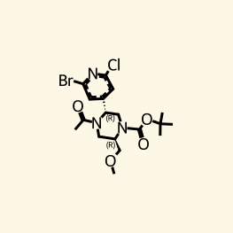 COC[C@H]1CN(C(C)=O)[C@H](c2cc(Cl)nc(Br)c2)CN1C(=O)OC(C)(C)C